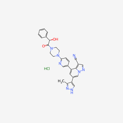 Cc1n[nH]cc1-c1cc(-c2ccc(N3CCN(C(=O)[C@H](O)c4ccccc4)CC3)nc2)c2c(C#N)cnn2c1.Cl